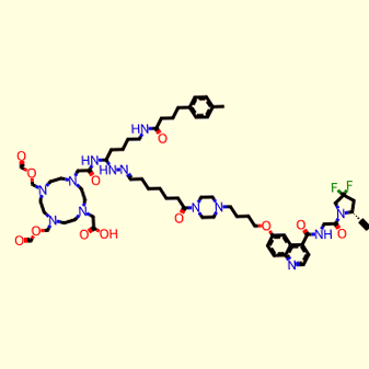 C#C[C@H]1CC(F)(F)CN1C(=O)CNC(=O)c1ccnc2ccc(OCCCCN3CCN(C(=O)CCCCC/C=N/NC(CCCCNC(=O)CCCc4ccc(C)cc4)NC(=O)CN4CCN(COC=O)CCN(COC=O)CCN(CC(=O)O)CC4)CC3)cc12